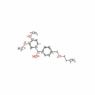 CCCOCc1ccc(C(O)c2ccc(OC)c(OC)c2)cc1